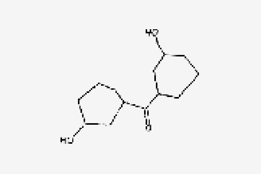 O=C(C1CCCC(O)C1)C1CCCC(O)C1